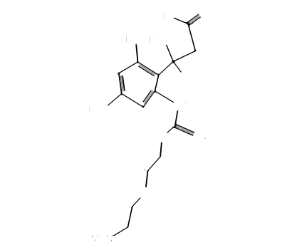 CNCCOCCOC(=O)Oc1cc(C)cc(C)c1C(C)(C)CC(=O)Br